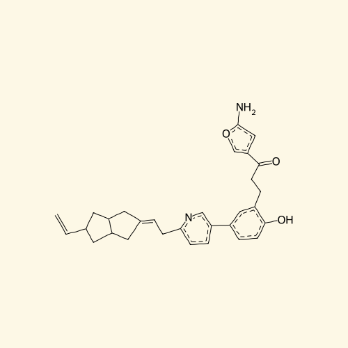 C=CC1CC2CC(=CCc3ccc(-c4ccc(O)c(CCC(=O)c5coc(N)c5)c4)cn3)CC2C1